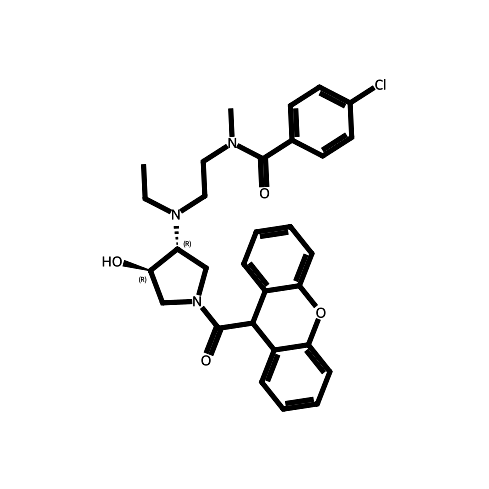 CCN(CCN(C)C(=O)c1ccc(Cl)cc1)[C@@H]1CN(C(=O)C2c3ccccc3Oc3ccccc32)C[C@H]1O